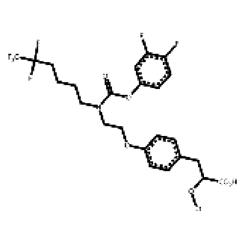 CCOC(Cc1ccc(OCCN(CCCCC(F)(F)C(F)(F)F)C(=O)Oc2ccc(F)c(F)c2)cc1)C(=O)O